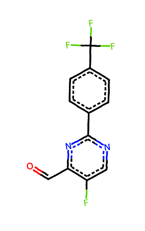 O=Cc1nc(-c2ccc(C(F)(F)F)cc2)ncc1F